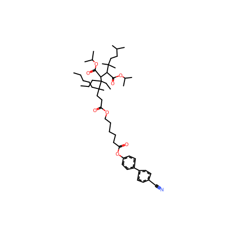 CCCCCC(C)(CCC(=O)OCCCCCC(=O)Oc1ccc(-c2ccc(C#N)cc2)cc1)C(CC)(CCC)C(C(=O)OC(C)C)C(C(=O)OC(C)C)C(C)(C)CCC(C)C